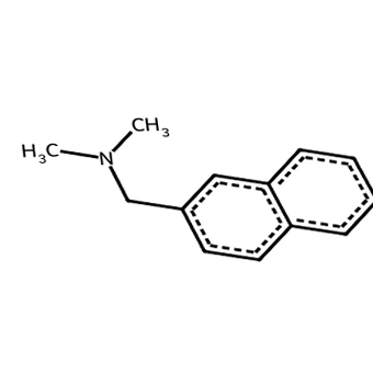 CN(C)Cc1ccc2ccccc2c1